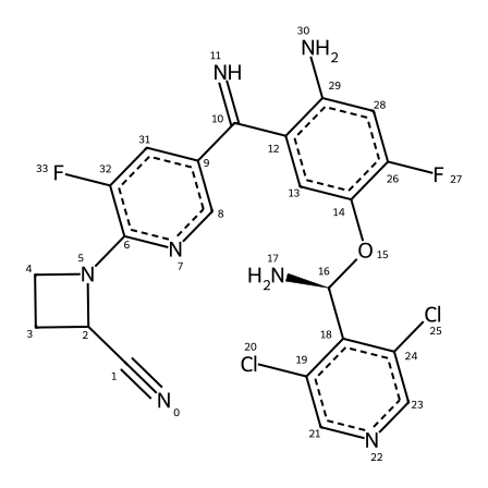 N#CC1CCN1c1ncc(C(=N)c2cc(O[C@H](N)c3c(Cl)cncc3Cl)c(F)cc2N)cc1F